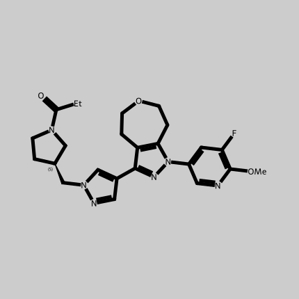 CCC(=O)N1CC[C@H](Cn2cc(-c3nn(-c4cnc(OC)c(F)c4)c4c3CCOCC4)cn2)C1